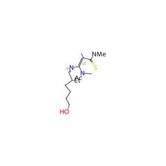 CCC(/C=N\C(=C(/C)C(=S)NC)N(C)C(C)=O)CCCCO